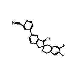 N#Cc1cccc(-c2ccc3c(c2)C(=O)C2(CCc4cc(F)c(F)cc4C2)C3)c1